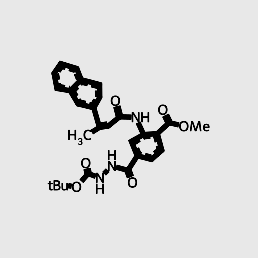 COC(=O)c1ccc(C(=O)NNC(=O)OC(C)(C)C)cc1NC(=O)/C=C(/C)c1ccc2ccccc2c1